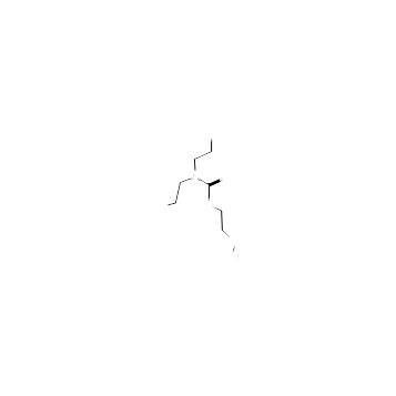 CCCN(CCC)C(=O)OCCOC